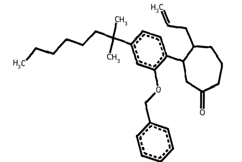 C=CCC1CCCC(=O)CC1c1ccc(C(C)(C)CCCCCC)cc1OCc1ccccc1